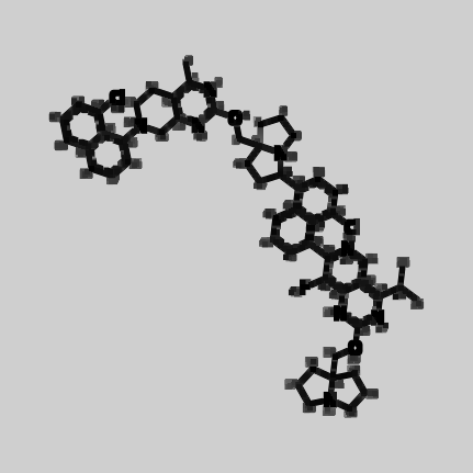 Cc1nc(OCC23CCCN2C(c2ccc(Cl)c4c(-c5ncc6c(C(C)C)nc(OCC78CCCN7CCC8)nc6c5F)cccc24)CC3)nc2c1CCN(c1cccc3cccc(Cl)c13)C2